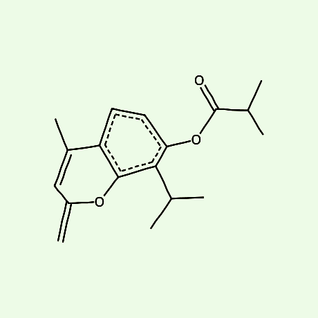 C=C1C=C(C)c2ccc(OC(=O)C(C)C)c(C(C)C)c2O1